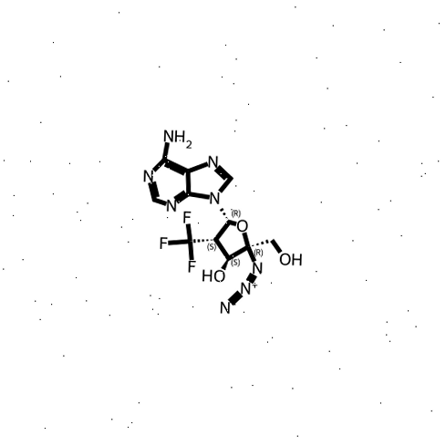 [N-]=[N+]=N[C@]1(CO)O[C@@H](n2cnc3c(N)ncnc32)[C@@H](C(F)(F)F)[C@@H]1O